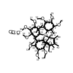 COc1c(C)c([Si](c2c(C)c(OC)c(OC)c(OC)c2OC)(c2c(C)c(OC)c(OC)c(OC)c2OC)[C]2([Ti+3])C(C)=C(C)C(C)=C2C)c(OC)c(OC)c1OC.[Cl-].[Cl-].[Cl-]